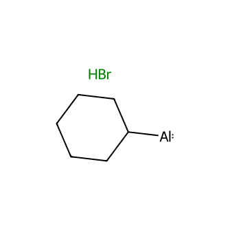 Br.[Al][CH]1CCCCC1